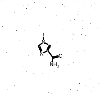 NC(=O)c1cn(I)cn1